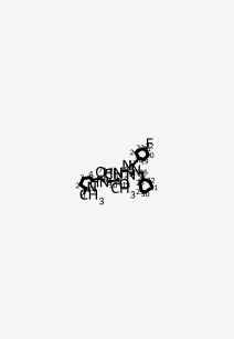 Cc1cccc(C(=O)NC(C)(C)C(=O)Nc2nc(-c3ccc(F)cc3)n(Cc3ccccc3)n2)n1